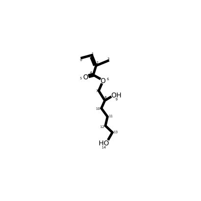 CC=C(C)C(=O)OCC(O)CCCCO